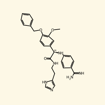 COc1cc([C@@H](Nc2ccc(C(=N)N)cc2)C(=O)NCCc2cnc[nH]2)ccc1OCc1ccccc1